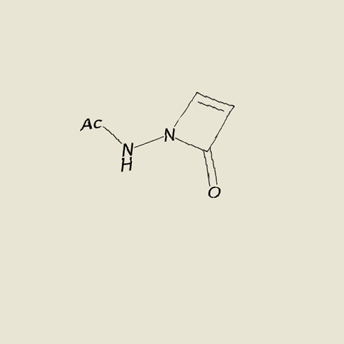 CC(=O)NN1C=CC1=O